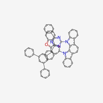 c1ccc(-c2cc(-c3ccccc3)cc(-c3cc(-n4c5ccccc5c5ccc6c7ccccc7n(-c7nc(-c8ccccc8)nc(-c8ccccc8)n7)c6c54)cc4c3oc3ccccc34)c2)cc1